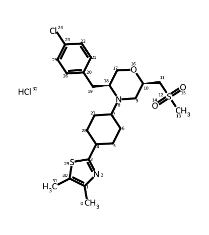 Cc1nc(C2CCC(N3C[C@H](CS(C)(=O)=O)OC[C@@H]3Cc3ccc(Cl)cc3)CC2)sc1C.Cl